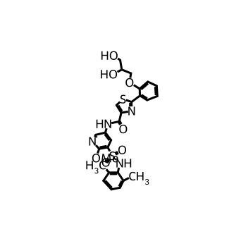 COc1ncc(NC(=O)c2csc(-c3ccccc3OCC(O)CO)n2)cc1S(=O)(=O)Nc1c(C)cccc1C